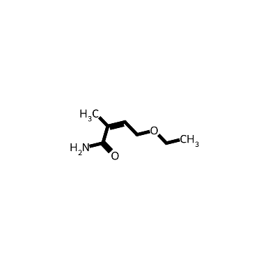 CCOCC=C(C)C(N)=O